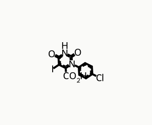 O=C(O)c1c(I)c(=O)[nH]c(=O)n1-c1ccc(Cl)cc1